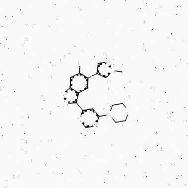 C[C@@H]1CN(c2cc(-c3n[nH]c4cc(F)c(-c5cnn(C)c5)cc34)ncn2)CCO1